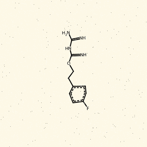 N=C(N)NC(=N)OCCc1ccc(F)cc1